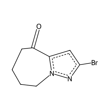 O=C1CCCCn2nc(Br)cc21